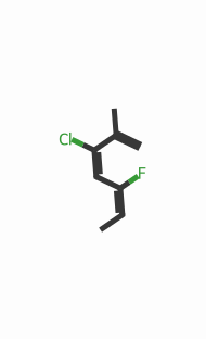 C=C(C)/C(Cl)=C\C(F)=C/C